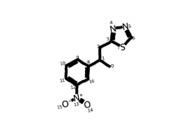 CC(Cc1nncs1)c1cccc([N+](=O)[O-])c1